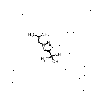 CC(C)Cn1cc(C(C)(C)O)nn1